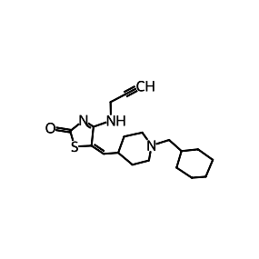 C#CCNC1=NC(=O)SC1=CC1CCN(CC2CCCCC2)CC1